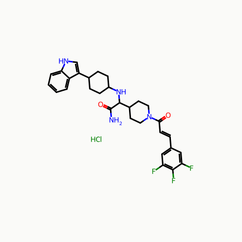 Cl.NC(=O)C(NC1CCC(c2c[nH]c3ccccc23)CC1)C1CCN(C(=O)/C=C/c2cc(F)c(F)c(F)c2)CC1